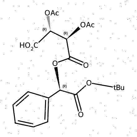 CC(=O)O[C@@H](C(=O)O)[C@@H](OC(C)=O)C(=O)O[C@@H](C(=O)OC(C)(C)C)c1ccccc1